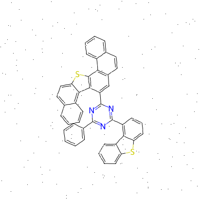 c1ccc(-c2nc(-c3cccc4sc5ccccc5c34)nc(-c3cc4ccc5ccccc5c4c4sc5ccc6ccccc6c5c34)n2)cc1